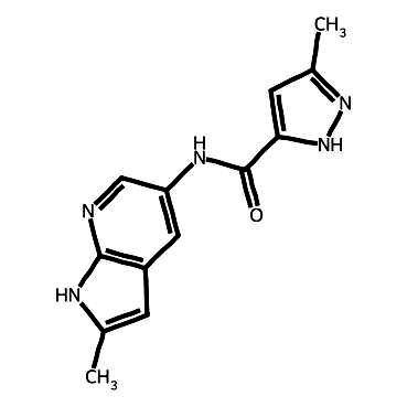 Cc1cc(C(=O)Nc2cnc3[nH]c(C)cc3c2)[nH]n1